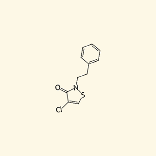 O=c1c(Cl)csn1CCc1ccccc1